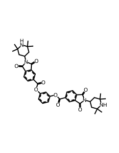 CC1(C)CC(N2C(=O)c3ccc(C(=O)Oc4cccc(OC(=O)c5ccc6c(c5)C(=O)N(C5CC(C)(C)NC(C)(C)C5)C6=O)c4)cc3C2=O)CC(C)(C)N1